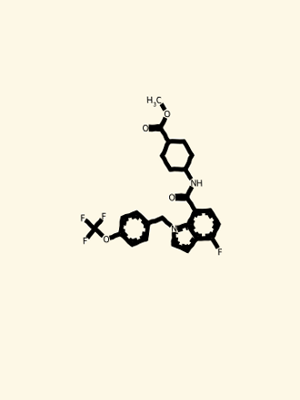 COC(=O)C1CCC(NC(=O)c2ccc(F)c3ccn(Cc4ccc(OC(F)(F)F)cc4)c23)CC1